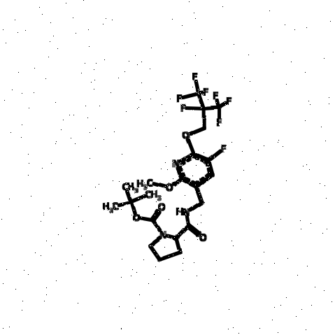 COc1nc(OCC(F)(C(F)(F)F)C(F)(F)F)c(F)cc1CNC(=O)C1CCCN1C(=O)OC(C)(C)C